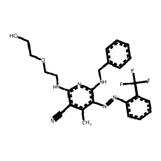 Cc1c(C#N)c(NCCOCCO)nc(NCc2ccccc2)c1N=Nc1ccccc1C(F)(F)F